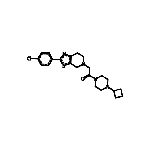 O=C(CN1CCc2nc(-c3ccc(Cl)cc3)sc2C1)N1CCN(C2CCC2)CC1